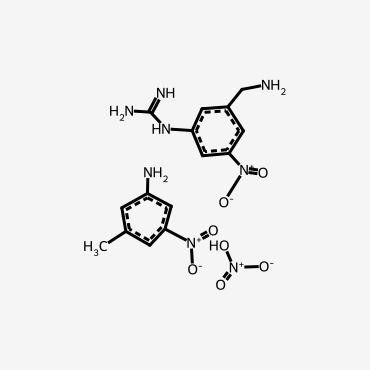 Cc1cc(N)cc([N+](=O)[O-])c1.N=C(N)Nc1cc(CN)cc([N+](=O)[O-])c1.O=[N+]([O-])O